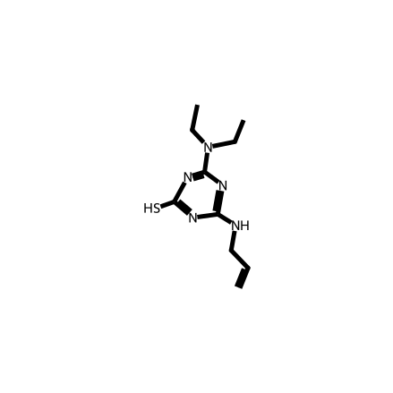 C=CCNc1nc(S)nc(N(CC)CC)n1